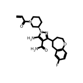 C=CC(=O)N1CCC[C@@H](n2nc(C3CCOc4ccc(F)cc4C3)c(C(N)=O)c2N)C1